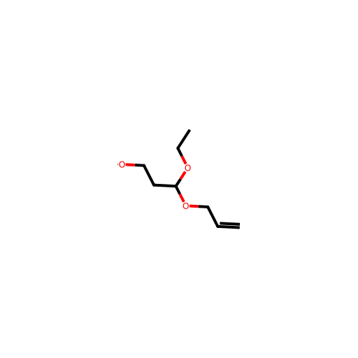 C=CCOC(CC[O])OCC